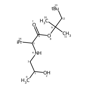 CC(O)CNC(C(=O)OC(C)(C)CC(C)(C)C)C(C)C